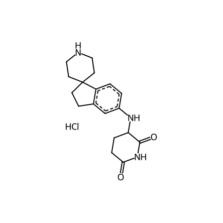 Cl.O=C1CCC(Nc2ccc3c(c2)CCC32CCNCC2)C(=O)N1